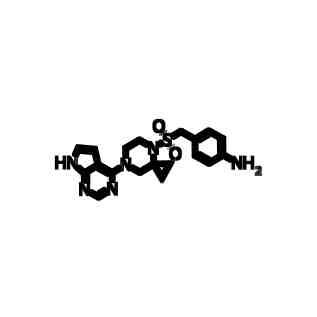 Nc1ccc(CS(=O)(=O)N2CCN(c3ncnc4[nH]ccc34)CC23CC3)cc1